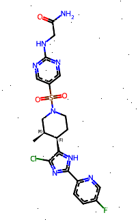 C[C@H]1CN(S(=O)(=O)c2cnc(NCC(N)=O)nc2)CC[C@H]1c1[nH]c(-c2ccc(F)cn2)nc1Cl